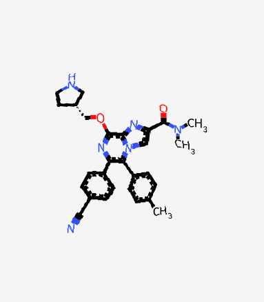 Cc1ccc(-c2c(-c3ccc(C#N)cc3)nc(OC[C@@H]3CCNC3)c3nc(C(=O)N(C)C)cn23)cc1